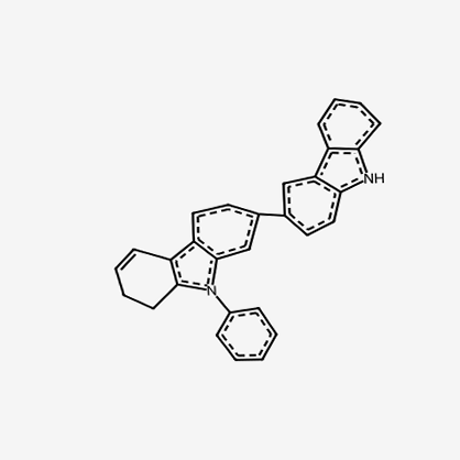 C1=Cc2c(n(-c3ccccc3)c3cc(-c4ccc5[nH]c6ccccc6c5c4)ccc23)CC1